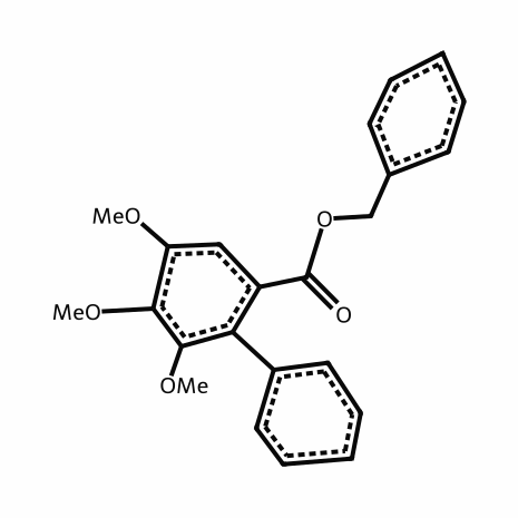 COc1cc(C(=O)OCc2ccccc2)c(-c2ccccc2)c(OC)c1OC